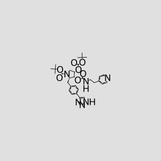 CC(C)(C)OC(=O)O[C@H]1CN(C(=O)OC(C)(C)C)[C@H](Cc2ccc(-c3c[nH]nn3)cc2)[C@@H]1OC(=O)NCCc1ccncc1